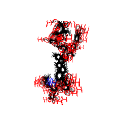 CC1OC(OC2C(C)OC(OC(=O)[C@]34CCC(C)(C)CC3C3=CCC5[C@@]6(C)CC[C@H](OC7OC(C(=O)NC(C)(CO)CO)C(O)C(OC8OCC(O)C(O)C8O)C7OC7OC(CO)C(O)C(O)C7O)[C@@](C)(CO)C6CC[C@@]5(C)[C@]3(C)C[C@H]4O)C(OC3OC(C)C(OC4OCC(O)C(OC5OC(CO)C(O)C(C)C5O)C4O)C(O)C3O)C2O)C(O)C(OC2CCC(O)C(O)C2O)C1O